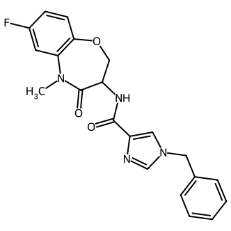 CN1C(=O)C(NC(=O)c2cn(Cc3ccccc3)cn2)COc2ccc(F)cc21